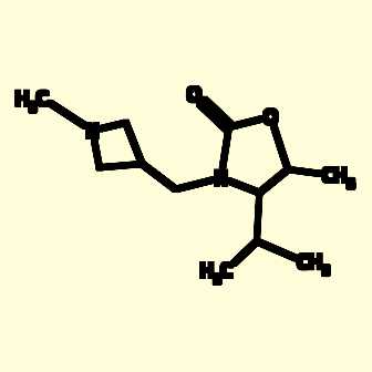 CC(C)C1C(C)OC(=O)N1CC1CN(C)C1